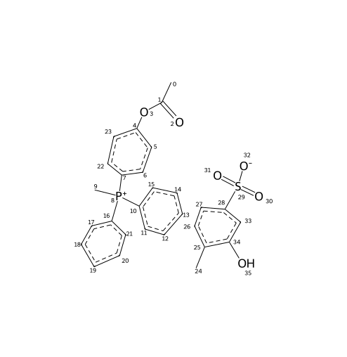 CC(=O)Oc1ccc([P+](C)(c2ccccc2)c2ccccc2)cc1.Cc1ccc(S(=O)(=O)[O-])cc1O